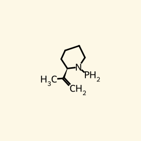 C=C(C)[C@H]1CCCCN1P